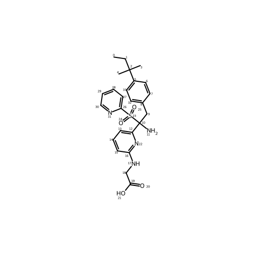 CCC(C)(C)c1ccc(CC(N)(c2cccc(NCC(=O)O)n2)S(=O)(=O)c2ccccn2)cc1